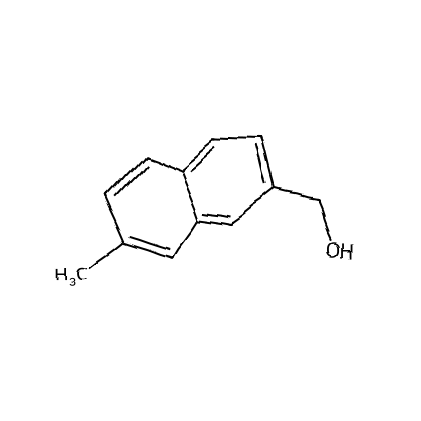 Cc1ccc2ccc(CO)cc2c1